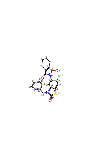 O=C1C2=C(CCCC2)C(=O)N1c1cc2c(cc1F)sc(=O)n2Cc1ccccn1